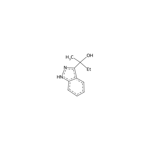 [CH2]CC(C)(O)c1n[nH]c2ccccc12